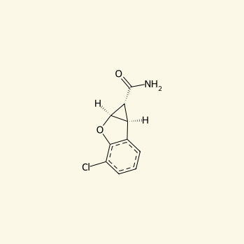 NC(=O)[C@H]1[C@@H]2Oc3c(Cl)cccc3[C@@H]21